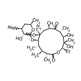 CC[C@H]1OC(=O)[C@H](C)[C@@H](C)[C@H](C)[C@@H](OC2O[C@H](C)C[C@H](NC)[C@H]2O)[C@@](C)(OC)C[C@@H](C)C(=O)[C@H](C)[C@@H](O)[C@]1(C)O